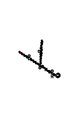 CCCCCCCCC(=O)OCCCCCCCCN(CCCCCCCCOC(=O)CCCCCCCC)C(=O)OCCSSCCOC(=O)NCCN1CCCCCC1